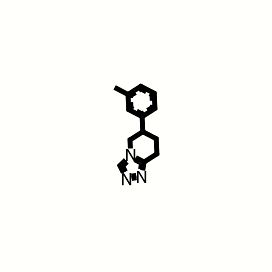 Cc1cccc(C2CCc3nncn3C2)c1